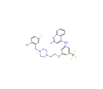 Cc1cc(Nc2cc(OCCN3CCN(Cc4cc(F)ccc4Cl)CC3)cc(C(F)(F)F)c2)c2ccccc2n1